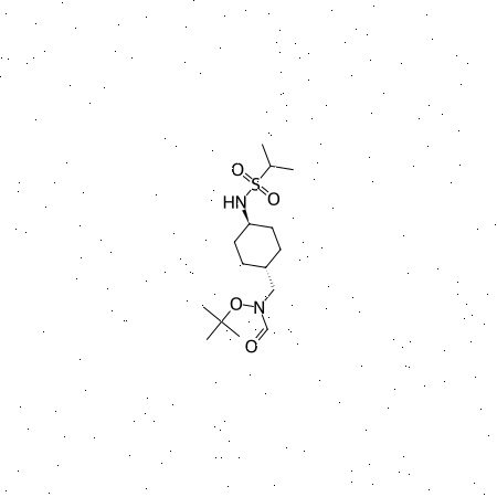 CC(C)S(=O)(=O)N[C@H]1CC[C@H](CN(C=O)OC(C)(C)C)CC1